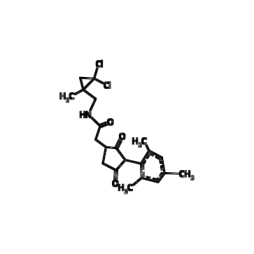 Cc1cc(C)c(C2C(=O)CC(CC(=O)NCC3(C)CC3(Cl)Cl)C2=O)c(C)c1